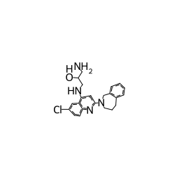 NCC(O)CNc1cc(N2CCCc3ccccc3C2)nc2ccc(Cl)cc12